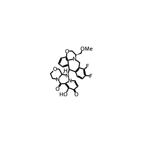 COC[C@@H]1COc2cccc3c2N1Cc1c(ccc(F)c1F)C3N1[C@@H]2COCCN2C(=O)c2c(O)c(=O)ccn21